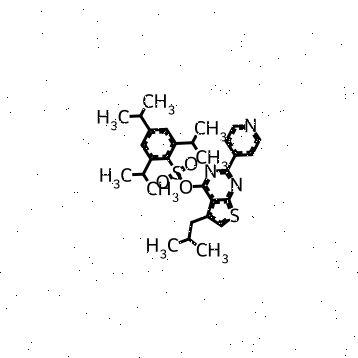 CC(C)Cc1csc2nc(-c3ccncc3)nc(OS(=O)(=O)c3c(C(C)C)cc(C(C)C)cc3C(C)C)c12